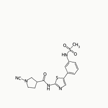 CS(=O)(=O)Nc1cccc(-c2cnc(NC(=O)C3CCN(C#N)C3)s2)c1